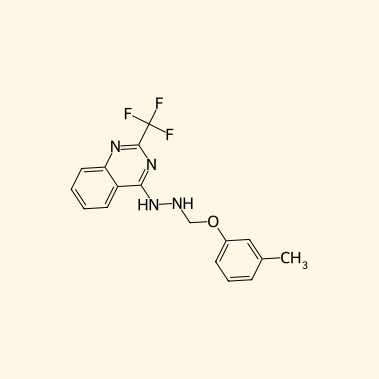 Cc1cccc(OCNNc2nc(C(F)(F)F)nc3ccccc23)c1